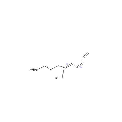 C=C/C=C\C=C(/C=C)CCCCCCCCC